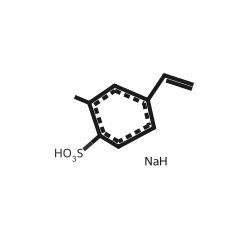 C=Cc1ccc(S(=O)(=O)O)c(C)c1.[NaH]